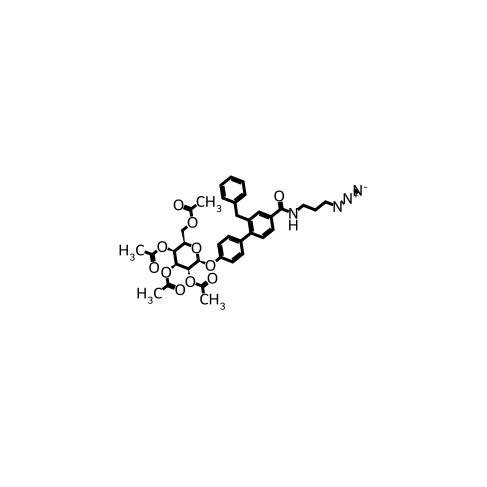 CC(=O)OC[C@H]1O[C@@H](Oc2ccc(-c3ccc(C(=O)NCCCN=[N+]=[N-])cc3Cc3ccccc3)cc2)[C@H](OC(C)=O)[C@@H](OC(C)=O)[C@H]1OC(C)=O